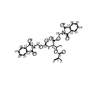 C=C(C)C(=O)OC(C)C(CC(=O)OCN1C(=O)c2ccccc2C1=O)C(=O)OCN1C(=O)c2ccccc2C1=O